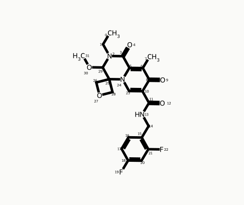 CCN1C(=O)c2c(C)c(=O)c(C(=O)NCc3ccc(F)cc3F)cn2C2(COC2)C1OC